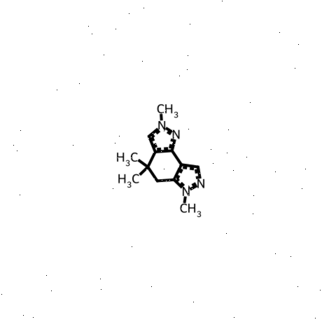 Cn1cc2c(n1)-c1cnn(C)c1CC2(C)C